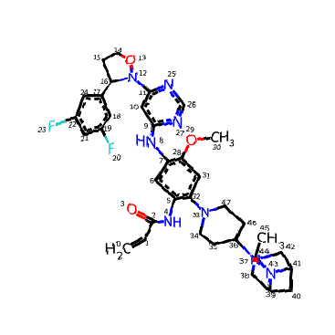 C=CC(=O)Nc1cc(Nc2cc(N3OCC[C@@H]3c3cc(F)cc(F)c3)ncn2)c(OC)cc1N1CCC(N2CC3CC(C2)N3CC)CC1